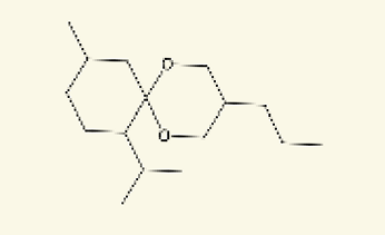 CCCC1COC2(CC(C)CCC2C(C)C)OC1